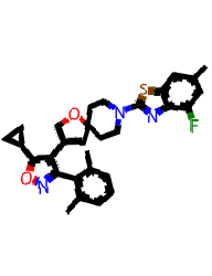 Cc1cc(F)c2nc(N3CCC4(C=C(c5c(-c6c(C)cccc6C)noc5C5CC5)CO4)CC3)sc2c1